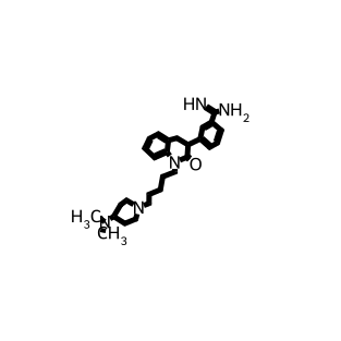 CN(C)C1CCN(CCCCCN2C(=O)C(c3cccc(C(=N)N)c3)Cc3ccccc32)CC1